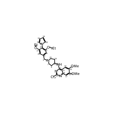 CCOc1cc(CN2CCC(Nc3nc(Cl)nc4cc(OC)c(OC)cc34)CC2)cc(OCC)c1-n1cccc1